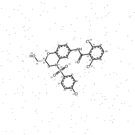 O=C(Nc1ccc2c(c1)N(S(=O)(=O)c1ccc(Cl)cc1)C[C@H](CO)O2)c1c(Cl)cccc1Cl